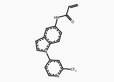 C=CC(=O)Nc1ccc2c(ccn2-c2ccnc(C(F)(F)F)c2)c1